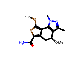 CCCSc1sc(C(N)=O)c2c1-c1c(c(C)nn1C)C(OC)C2